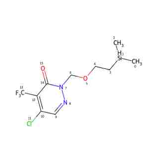 C[SiH](C)CCOCn1ncc(Cl)c(C(F)(F)F)c1=O